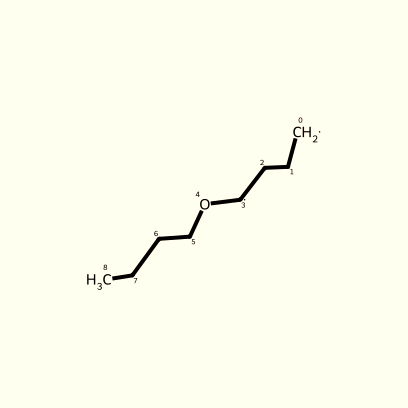 [CH2]CC[CH]OCCCC